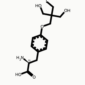 N[C@@H](Cc1ccc(OCC(CO)(CO)CI)cc1)C(=O)O